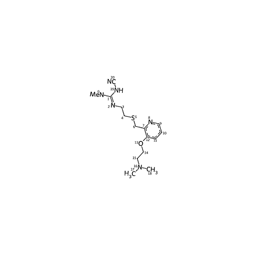 CN/C(=N/CCSCc1ncccc1OCCN(C)C)NC#N